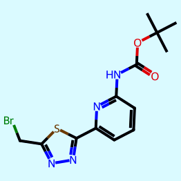 CC(C)(C)OC(=O)Nc1cccc(-c2nnc(CBr)s2)n1